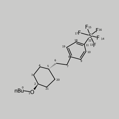 CCCCO[C@H]1CC[C@H](CCc2ccc(S(F)(F)(F)(F)F)cc2)CC1